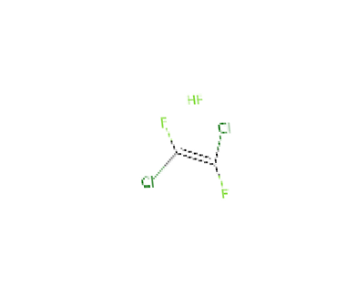 F.FC(Cl)=C(F)Cl